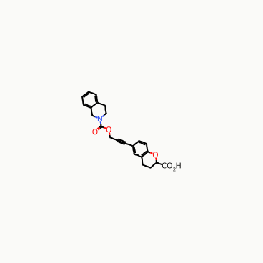 O=C(O)C1CCc2cc(C#CCOC(=O)N3CCc4ccccc4C3)ccc2O1